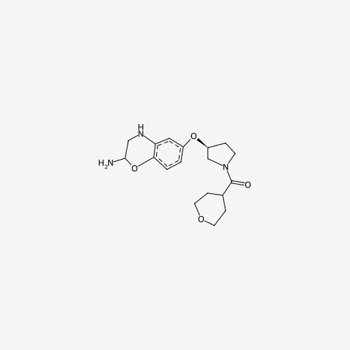 NC1CNc2cc(O[C@H]3CCN(C(=O)C4CCOCC4)C3)ccc2O1